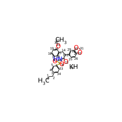 CCCc1ccc(S(=O)(=O)NC(=O)C(Cc2ccccc2OCC)c2ccc3c(c2)OCO3)cc1.[KH]